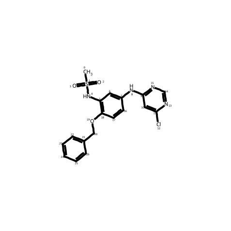 CS(=O)(=O)Nc1cc(Nc2cc(Cl)ncn2)ccc1OCc1ccccc1